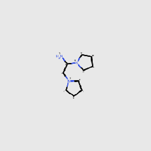 NC(CN1CCCC1)N1CCCC1